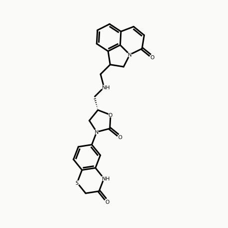 O=C1CSc2ccc(N3C[C@H](CNCC4Cn5c(=O)ccc6cccc4c65)OC3=O)cc2N1